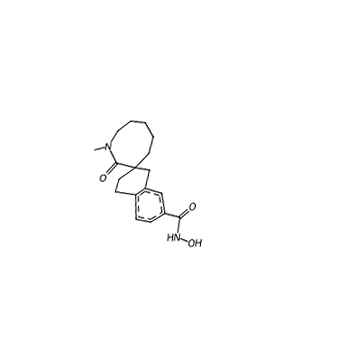 CN1CCCCCC2(CCc3ccc(C(=O)NO)cc3C2)C1=O